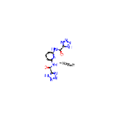 O=C(Nc1cccc(NC(=O)c2nnn[nH]2)n1)c1nnn[nH]1.[NaH].[NaH]